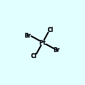 [Cl][Pt]([Cl])([Br])[Br]